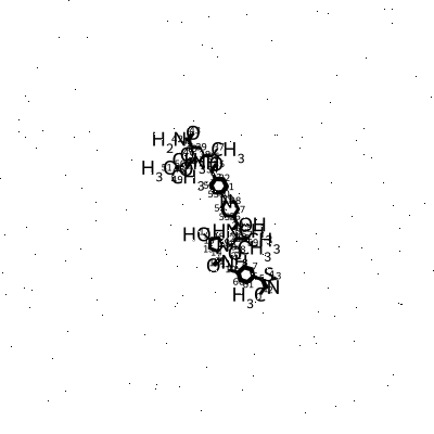 Cc1ncsc1-c1ccc(CNC(=O)[C@@H]2C[C@@H](O)CN2C(=O)[C@@H](NC(O)C2CCN(c3ccc(CO[C@H](C)[C@H](CCC(N)=O)NC(=O)OC(C)(C)C)cc3)CC2)C(C)(C)C)cc1